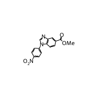 COC(=O)c1ccc2c(c1)ncn2-c1ccc([N+](=O)[O-])cc1